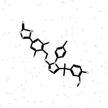 COc1cc(C(C)(C)c2cnc(SCc3c(F)cc(-c4noc(=O)[nH]4)cc3F)n2-c2ccc(C)cc2)ccc1Cl